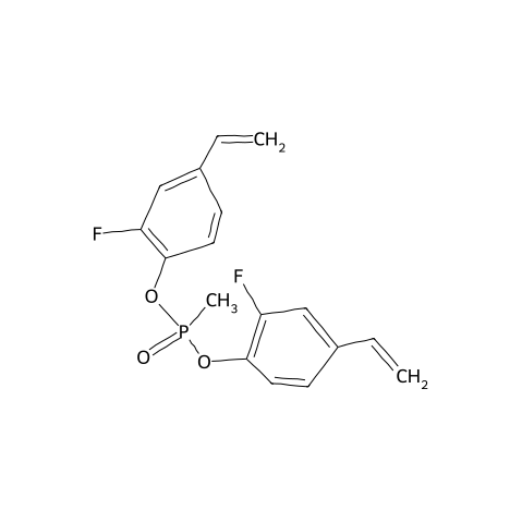 C=Cc1ccc(OP(C)(=O)Oc2ccc(C=C)cc2F)c(F)c1